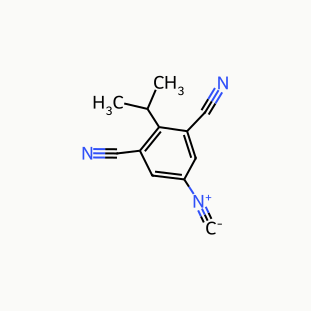 [C-]#[N+]c1cc(C#N)c(C(C)C)c(C#N)c1